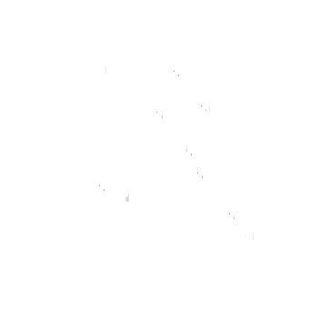 CC(C)N1CCCc2c(F)cc(-c3nc(Nc4cc5n(n4)CCN(C)C5)ncc3F)cc21